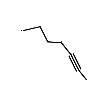 [CH2]CC[CH]C#CC